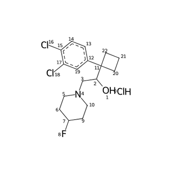 Cl.OC(CN1CCC(F)CC1)C1(c2ccc(Cl)c(Cl)c2)CCC1